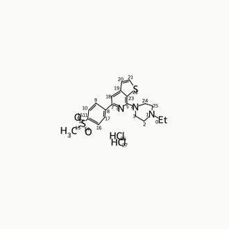 CCN1CCN(c2nc(-c3ccc(S(C)(=O)=O)cc3)cc3ccsc23)CC1.Cl.Cl